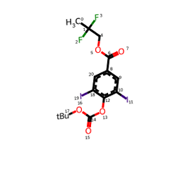 CC(F)(F)COC(=O)c1cc(I)c(OC(=O)OC(C)(C)C)c(I)c1